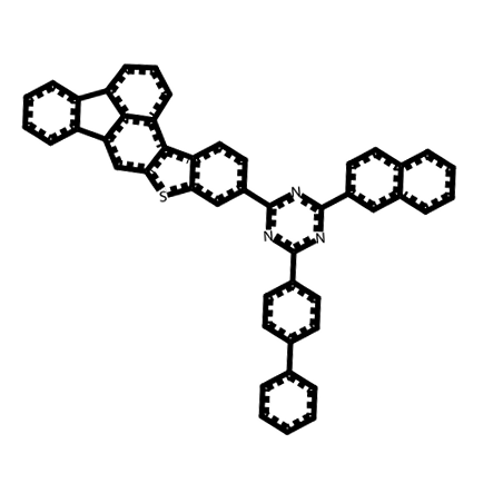 c1ccc(-c2ccc(-c3nc(-c4ccc5ccccc5c4)nc(-c4ccc5c(c4)sc4cc6c7c(cccc7c45)-c4ccccc4-6)n3)cc2)cc1